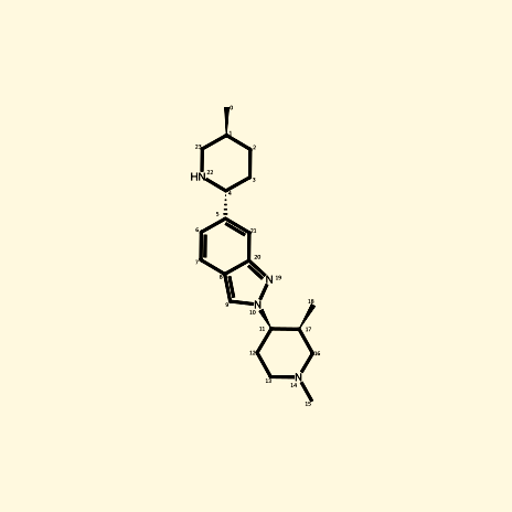 C[C@H]1CC[C@H](c2ccc3cn([C@@H]4CCN(C)C[C@@H]4C)nc3c2)NC1